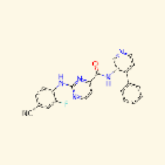 N#Cc1ccc(Nc2nccc(C(=O)Nc3cnccc3-c3ccccc3)n2)c(F)c1